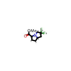 COC(=O)C1CCC2CC(F)(F)CN21